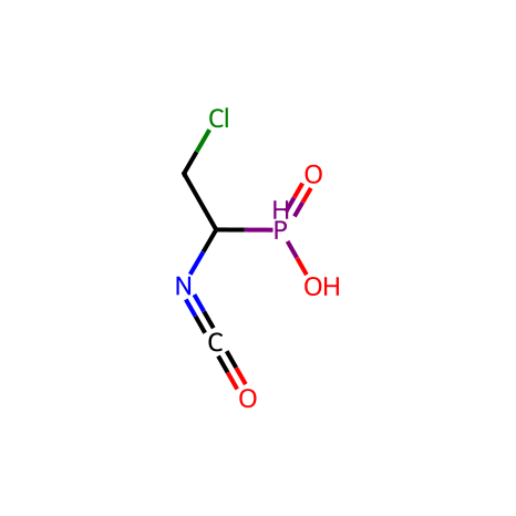 O=C=NC(CCl)[PH](=O)O